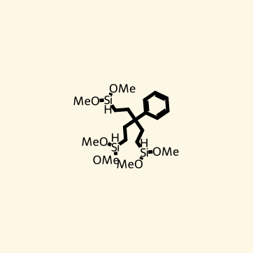 CO[SiH](CCC(CC[SiH](OC)OC)(CC[SiH](OC)OC)c1ccccc1)OC